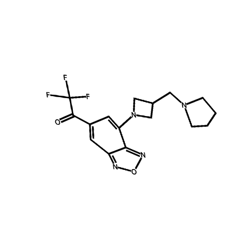 O=C(c1cc(N2CC(CN3CCCC3)C2)c2nonc2c1)C(F)(F)F